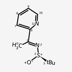 CC(=N[S@+]([O-])C(C)(C)C)c1ccccn1